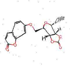 CO[C@@H]1O[C@H](COc2ccc3ccc(=O)oc3c2)[C@H]2OC(=O)O[C@@H]12